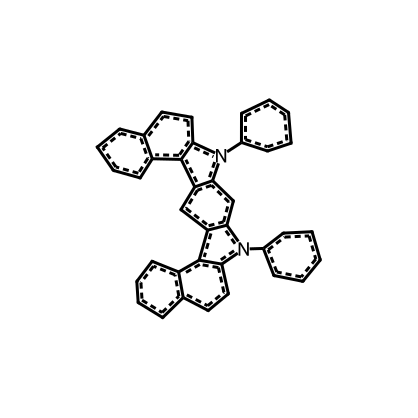 c1ccc(-n2c3cc4c(cc3c3c5ccccc5ccc32)c2c3ccccc3ccc2n4-c2ccccc2)cc1